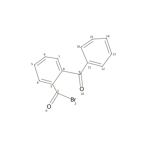 O=C(Br)c1ccccc1C(=O)c1ccccc1